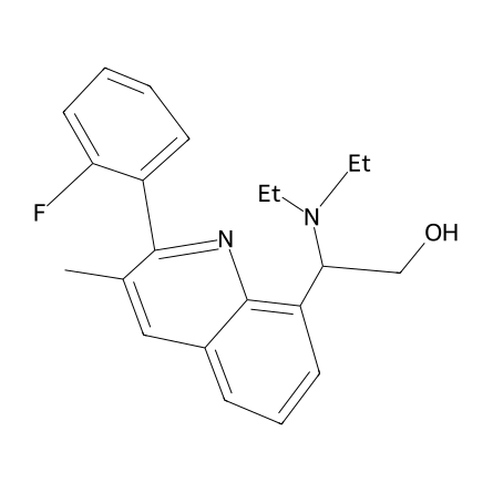 CCN(CC)C(CO)c1cccc2cc(C)c(-c3ccccc3F)nc12